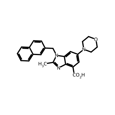 Cc1nc2c(C(=O)O)cc(N3CCOCC3)cc2n1Cc1ccc2ccccc2c1